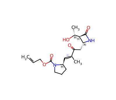 C=CCOC(=O)N1CCC[C@@H]1/C=C(\C)C(=O)C[C@H]1NC(=O)[C@@H]1[C@@H](C)O